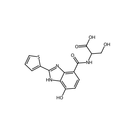 O=C(NC(CO)C(=O)O)c1ccc(O)c2[nH]c(-c3cccs3)nc12